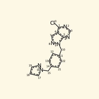 Clc1ncnc2c1cnn2Cc1ccc(Cn2cccn2)cc1